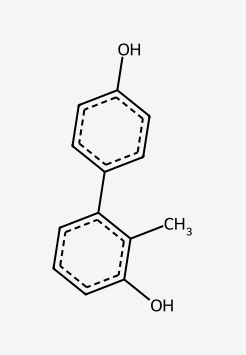 Cc1c(O)cccc1-c1ccc(O)cc1